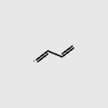 [C]=CC=C